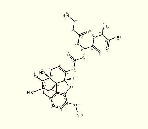 COc1ccc2c3c1O[C@H]1C(OC(=O)C[C@H](OC(=O)CCN)C(=O)O[C@@H](C)C(=O)O)=CC[C@@]4(O)[C@@H](C2)C(C)CC[C@]314